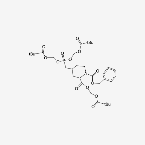 CC(C)(C)C(=O)OCOC(=O)C1CC(CP(=O)(OCOC(=O)C(C)(C)C)OCOC(=O)C(C)(C)C)CCN1C(=O)OCc1ccccc1